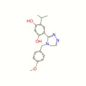 COc1ccc(CN2CC=NN=C2c2cc(C(C)C)c(O)cc2O)cc1